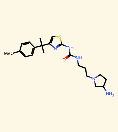 COc1ccc(C(C)(C)c2csc(NC(=O)NCCCN3CCC(N)C3)n2)cc1